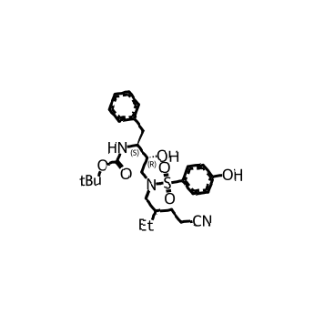 CCC(CCC#N)CN(C[C@@H](O)[C@H](Cc1ccccc1)NC(=O)OC(C)(C)C)S(=O)(=O)c1ccc(O)cc1